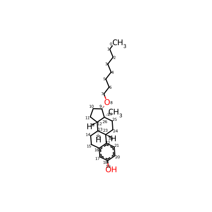 CCCCCCCCO[C@H]1CC[C@H]2[C@@H]3CCc4cc(O)ccc4[C@H]3CC[C@]12C